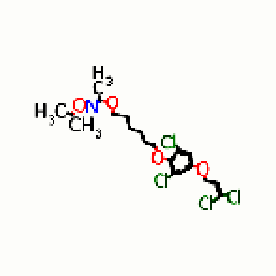 CC(=NOC(C)C)OCCCCCCOc1c(Cl)cc(OCC=C(Cl)Cl)cc1Cl